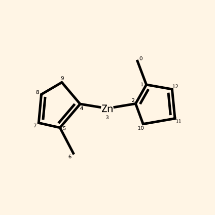 CC1=[C]([Zn][C]2=C(C)C=CC2)CC=C1